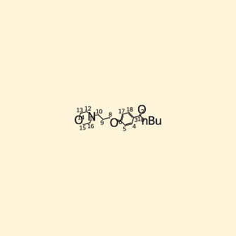 CCCCC(=O)c1ccc(OCCCN2CCOCC2)cc1